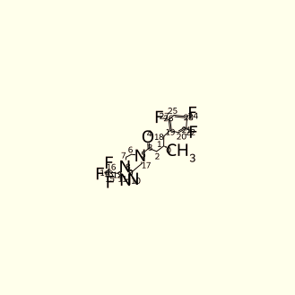 C[C@@H](CC(=O)N1CCn2c(nnc2C(F)(F)F)C1)Cc1cc(F)c(F)cc1F